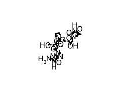 Cc1cn([C@H]2CC(O)[C@@H](COP(=O)(OC3C[C@H](n4cnc5c(=O)[nH]c(N)nc54)O[C@@H]3CO)N3CCCC3)O2)c(=O)[nH]c1=O